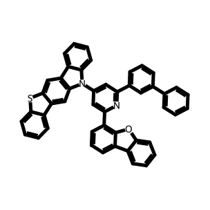 c1ccc(-c2cccc(-c3cc(-n4c5ccccc5c5cc6sc7ccccc7c6cc54)cc(-c4cccc5c4oc4ccccc45)n3)c2)cc1